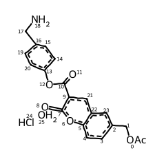 CC(=O)OCc1ccc2oc(=O)c(C(=O)Oc3ccc(CN)cc3)cc2c1.Cl.O